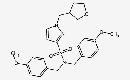 COc1ccc(CN(Cc2ccc(OC)cc2)S(=O)(=O)c2ccn(CC3CCOC3)n2)cc1